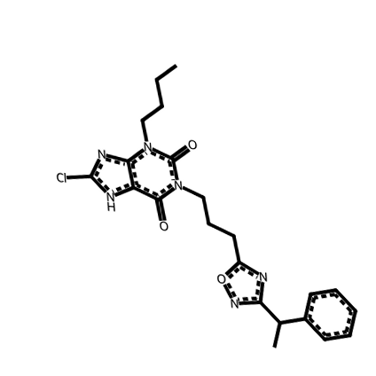 CCCCn1c(=O)n(CCCc2nc(C(C)c3ccccc3)no2)c(=O)c2[nH]c(Cl)nc21